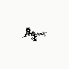 CC(C)(C)C(=O)c1cn(COCC[Si](C)(C)C)c2ncc(-c3cn(CCCl)c4ccccc34)nc12